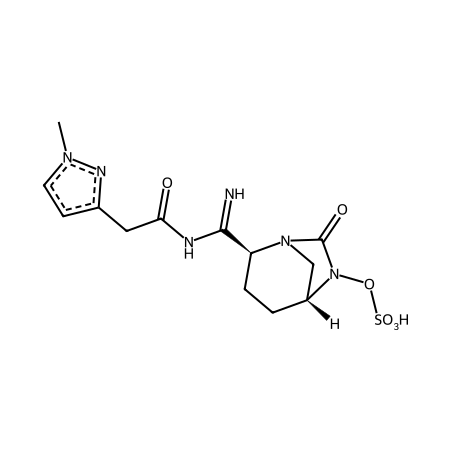 Cn1ccc(CC(=O)NC(=N)[C@@H]2CC[C@@H]3CN2C(=O)N3OS(=O)(=O)O)n1